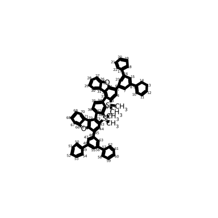 C[Si]1(C)c2cc(-c3cc(C4=CC=CCC4)cc(-c4ccccc4)c3)c3oc4ccccc4c3c2-c2ccc3c(c21)[Si](C)(C)c1cc(-c2cc(-c4ccccc4)cc(-c4ccccc4)c2)c2oc4ccccc4c2c1-3